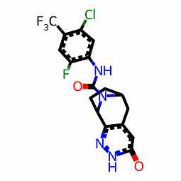 O=C(Nc1cc(Cl)c(C(F)(F)F)cc1F)N1C2CCC1c1n[nH]c(=O)cc1C2